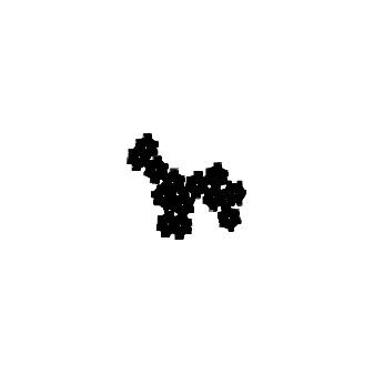 c1ccc(-n2c3ccccc3c3c(-c4ccccc4-c4ccc(N(c5ccc(-c6ccc(-c7cccc8ccccc78)cc6)cc5)c5ccc(-c6cccc7ccccc67)c6oc7ccccc7c56)cc4)cccc32)cc1